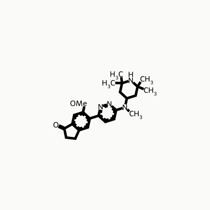 COc1cc2c(cc1-c1ccc(N(C)C3CC(C)(C)NC(C)(C)C3)nn1)CCC2=O